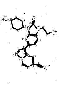 N#Cc1ccn2ncc(-c3ccc4c(n3)n([C@H]3CC[C@H](O)CC3)c(=O)n4CCO)c2c1